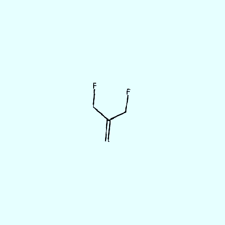 [CH]=C(CF)CF